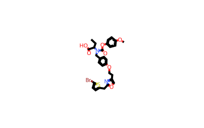 CCC(C(=O)O)N(Cc1ccc(OCCc2coc(Cc3ccc(Br)s3)n2)cc1)C(=O)Oc1ccc(OC)cc1